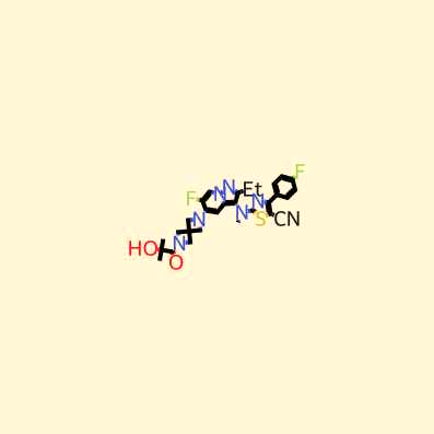 CCc1nn2cc(F)c(N3CC4(CN(C(=O)C(C)(C)O)C4)C3)cc2c1N(C)c1nc(-c2ccc(F)cc2)c(C#N)s1